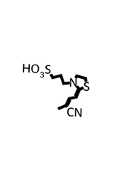 C/C(C#N)=C/C=C1/SCCN1CCCS(=O)(=O)O